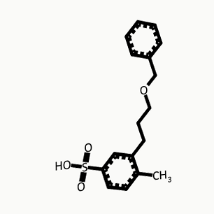 Cc1ccc(S(=O)(=O)O)cc1CCCOCc1ccccc1